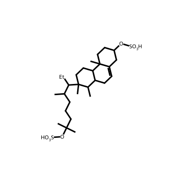 CCC(C(C)CCCC(C)(C)OS(=O)(=O)O)C1(C)CCC2C(CC=C3CC(OS(=O)(=O)O)CCC32C)C1C